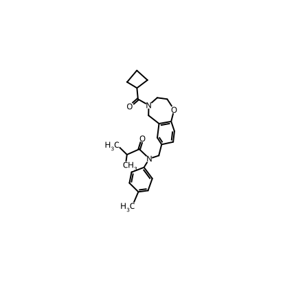 Cc1ccc(N(Cc2ccc3c(c2)CN(C(=O)C2CCC2)CCO3)C(=O)C(C)C)cc1